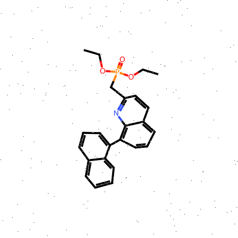 CCOP(=O)(Cc1ccc2cccc(-c3cccc4ccccc34)c2n1)OCC